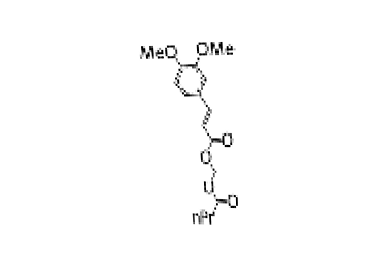 CCCC(=O)OCOC(=O)/C=C/c1ccc(OC)c(OC)c1